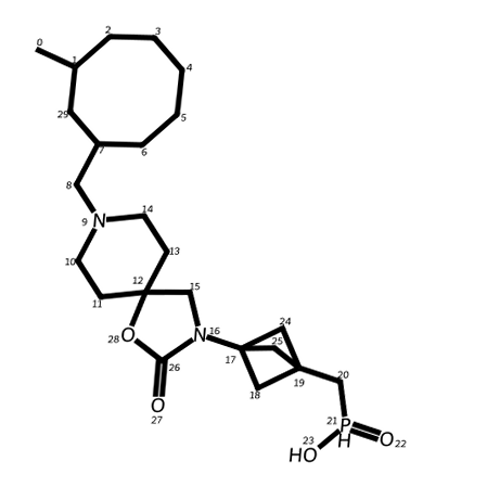 CC1CCCCCC(CN2CCC3(CC2)CN(C24CC(C[PH](=O)O)(C2)C4)C(=O)O3)C1